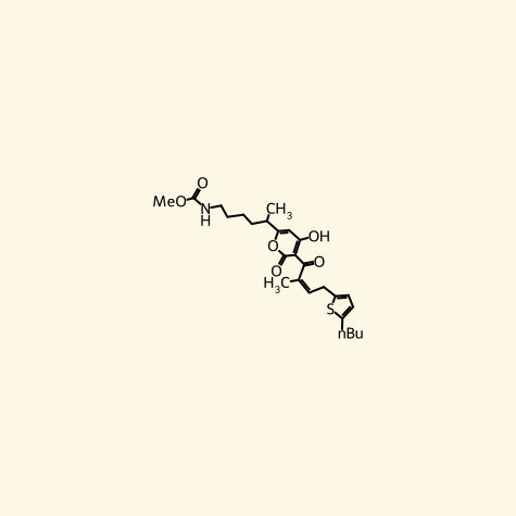 CCCCc1ccc(C/C=C(/C)C(=O)c2c(O)cc(C(C)CCCCNC(=O)OC)oc2=O)s1